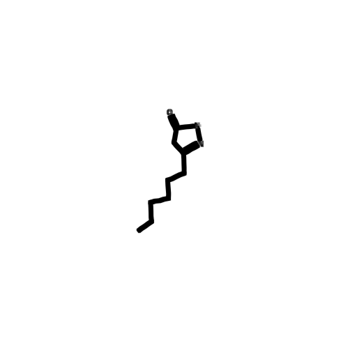 CCCCCCC1=N[N]C(=O)C1